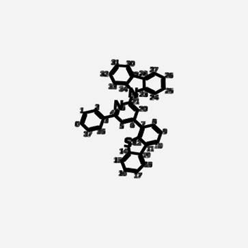 c1ccc(-c2cc(-c3cccc4c3sc3ccccc34)cc(-n3c4ccccc4c4ccccc43)n2)cc1